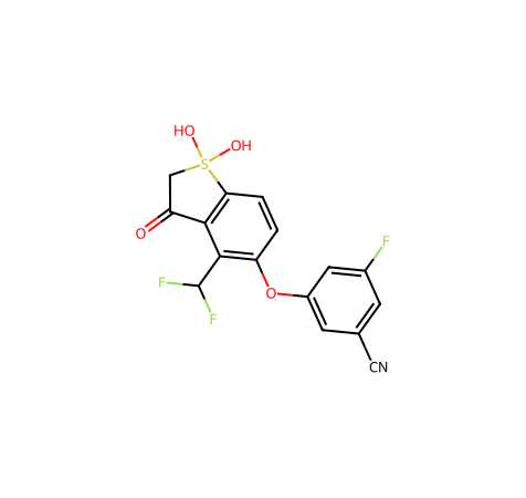 N#Cc1cc(F)cc(Oc2ccc3c(c2C(F)F)C(=O)CS3(O)O)c1